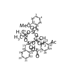 COc1ccccc1C[Si]1(C)O[Si](C)(C)O[Si](C)(Cc2ccccc2OC(=O)c2ccc(C(C)=O)cc2)O[Si](C)(C)O1